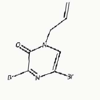 C=CCn1cc(Br)nc(Br)c1=O